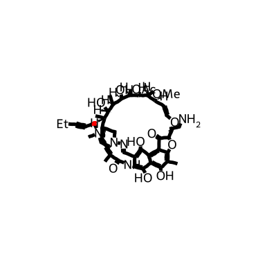 CCC#CC[N+]1(C)CCN(/N=C/c2c3c(O)c4c(O)c(C)c5c(c4c2O)C(=O)[C@@](CCN)(O/C=C/[C@H](OC)[C@@H](C)[C@@H](OC(C)=O)[C@H](C)[C@H](O)[C@H](C)[C@@H](O)[C@@H](C)/C=C/C=C(/C)C(=O)N3)O5)CC1